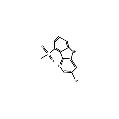 CS(=O)(=O)c1cccc2[nH]c3cc(Br)cnc3c12